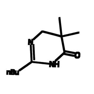 CCCCC1=NCC(C)(C)C(=O)N1